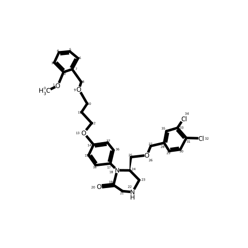 COc1ccccc1COCCCOc1ccc(N2C(=O)CNC[C@@H]2COCc2ccc(Cl)c(Cl)c2)cc1